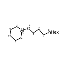 CCCCCCCCC[O][Al]1[CH2]CCC[CH2]1